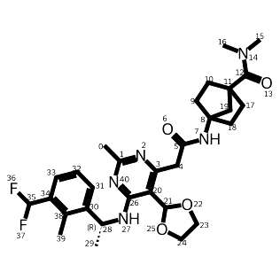 Cc1nc(CC(=O)NC23CCC(C(=O)N(C)C)(CC2)C3)c(C2OCCO2)c(N[C@H](C)c2cccc(C(F)F)c2C)n1